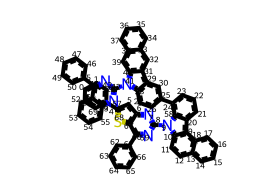 c1ccc(-c2cc3nc(-n4c5ccc6ccccc6c5c5cccc(-c6ccc7c(c6)c6cc8ccccc8cc6n7-c6nc(-c7ccccc7)c7ccccc7n6)c54)nc(-c4ccccc4)c3s2)cc1